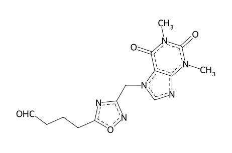 Cn1c(=O)c2c(ncn2Cc2noc(CCCC=O)n2)n(C)c1=O